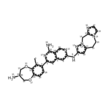 Cc1c(-c2cc3cc(Nc4cc5n(n4)Cc4nccn4CC5)ncc3c(N)n2)ccc2c1OC[C@H](N)CO2